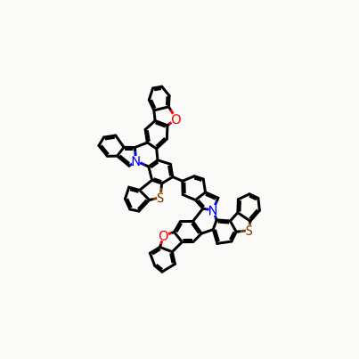 c1ccc2c(c1)cn1c2c2cc3c(cc2c2cc(-c4ccc5cn6c(c5c4)c4cc5oc7ccccc7c5cc4c4ccc5sc7ccccc7c5c46)c4sc5ccccc5c4c21)oc1ccccc13